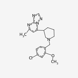 COc1cc(Cl)ccc1CN1CCCC(c2cc(C)nc3ncnn23)C1